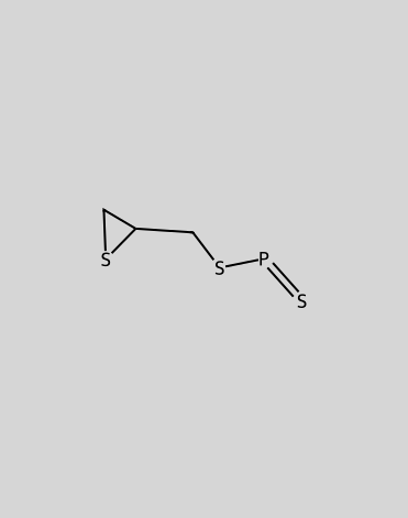 S=PSCC1CS1